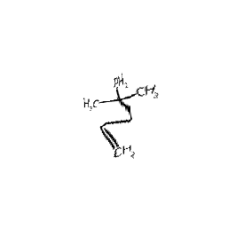 C=CCC(C)(C)P